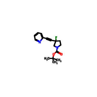 CC(C)(C)OC(=O)N1CCC(F)(C#Cc2ccccn2)C1